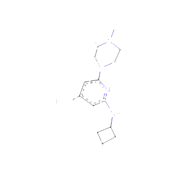 CN1CCN(c2cc(C(=O)O)cc(NC3CCC3)n2)CC1